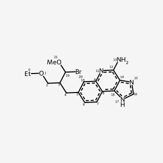 CCOCC(Cc1ccc2c(c1)nc(N)c1nc[nH]c12)C(Br)OC